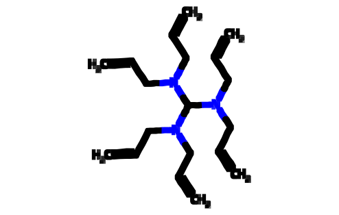 C=CCN(CC=C)C(N(CC=C)CC=C)N(CC=C)CC=C